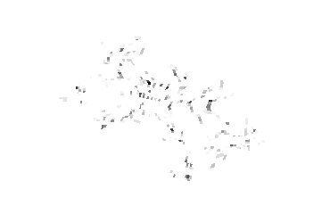 CO[C@@H]1OC(COS(=O)(=O)O)[C@@H](O[C@@H]2OC(C)[C@H](O[C@@H]3OC(COS(=O)(=O)O)[C@@H](O[C@@H]4OC(C)[C@@H](O[C@@H]5OC(COS(=O)(=O)O)[C@@H](O)[C@H](O)C5NS(=O)(=O)O)[C@H](O)C4O)[C@H](OS(=O)(=O)O)C3NS(=O)(=O)O)[C@@H](O)C2OS(=O)(=O)O)[C@H](O)C1NS(=O)(=O)O